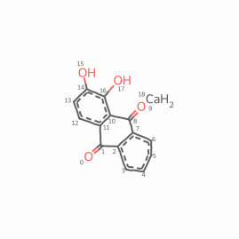 O=C1c2ccccc2C(=O)c2c1ccc(O)c2O.[CaH2]